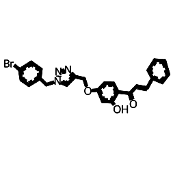 O=C(/C=C/c1ccccc1)c1ccc(OCc2cn(Cc3ccc(Br)cc3)nn2)cc1O